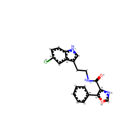 O=C(NCCc1c[nH]c2ccc(Cl)cc12)c1ncoc1-c1ccccc1